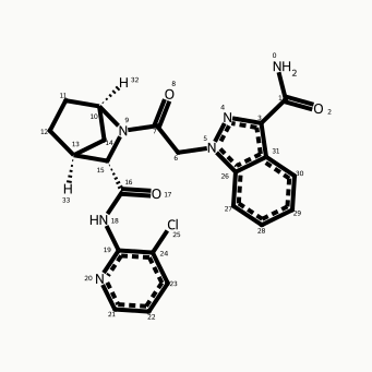 NC(=O)c1nn(CC(=O)N2[C@@H]3CC[C@@H](C3)[C@H]2C(=O)Nc2ncccc2Cl)c2ccccc12